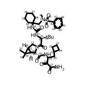 CN(CC1(NC(=O)N[C@H](C(=O)N2C[C@H]3[C@@H]([C@H]2C(=O)NC(CC2CCC2)C(=O)C(N)=O)C3(C)C)C(C)(C)C)CCCCC1)S(=O)(=O)c1ccccc1